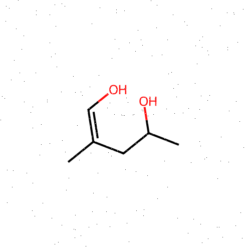 CC(=CO)CC(C)O